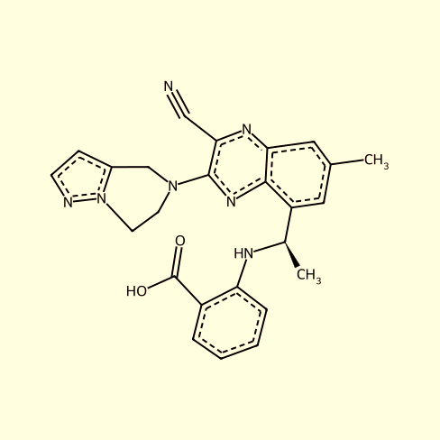 Cc1cc([C@@H](C)Nc2ccccc2C(=O)O)c2nc(N3CCn4nccc4C3)c(C#N)nc2c1